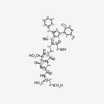 CC(C)(C)[C@H](c1cc(-c2cc(F)ccc2F)cn1Cc1ccccc1)N(CC[C@H](N[C@@H](CC(N)=O)C(=O)O)C(=O)NCCC(=O)N[C@@H](CCC(=O)O)C(=O)O)C(=O)CO